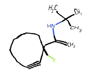 C=C(NC(C)(C)C)C1(F)C#CCCCCC1